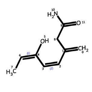 C=C(/C=C\C(O)=C/C)CC(N)=O